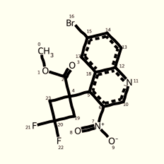 COC(=O)C1(c2c([N+](=O)[O-])cnc3ccc(Br)cc23)CC(F)(F)C1